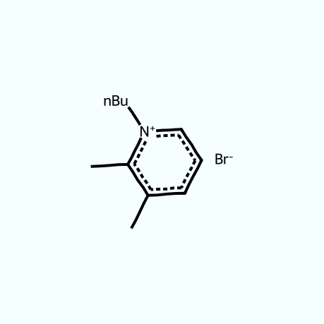 CCCC[n+]1cccc(C)c1C.[Br-]